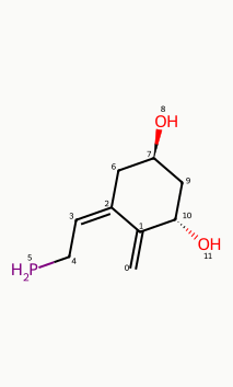 C=C1/C(=C\CP)C[C@@H](O)C[C@@H]1O